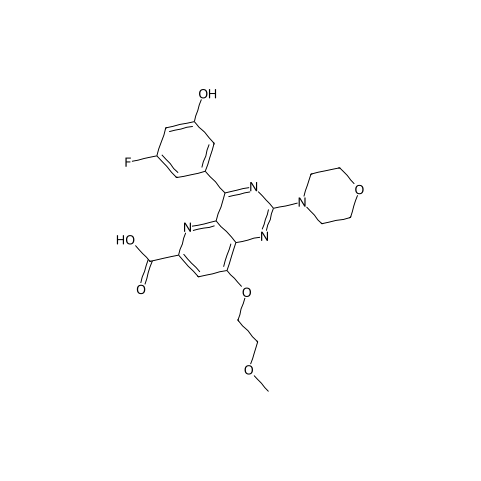 COCCOc1cc(C(=O)O)nc2c(-c3cc(O)cc(F)c3)nc(N3CCOCC3)nc12